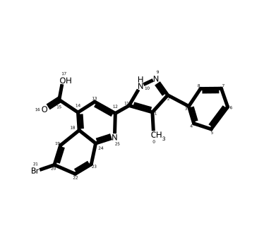 Cc1c(-c2ccccc2)n[nH]c1-c1cc(C(=O)O)c2cc(Br)ccc2n1